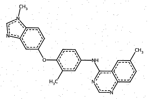 Cc1ccc2ncnc(Nc3ccc(Oc4ccc5c(c4)ncn5C)c(C)c3)c2c1